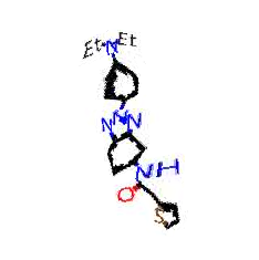 CCN(CC)c1ccc(-n2nc3ccc(NC(=O)c4cccs4)cc3n2)cc1